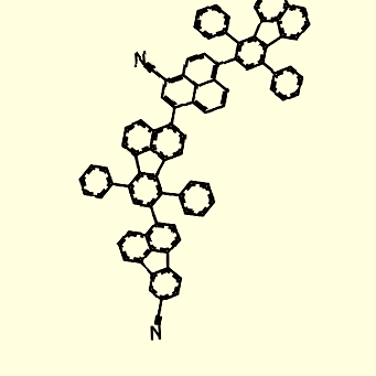 N#CC1=C2C=CC(c3cc(-c4ccccc4)c4c(c3-c3ccccc3)-c3cccc5cccc-4c35)=C3C=CC=C(C(c4ccc5c6c(cccc46)-c4c(-c6ccccc6)cc(-c6ccc7c8c(cccc68)-c6cc(C#N)ccc6-7)c(-c6ccccc6)c4-5)=C1)C23